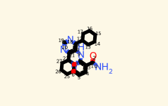 NC(=O)c1cccnc1Nc1c(C2CCCCC2)ncnc1C1CCCCC1